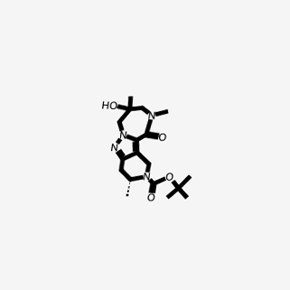 C[C@@H]1Cc2nn3c(c2CN1C(=O)OC(C)(C)C)C(=O)N(C)CC(C)(O)C3